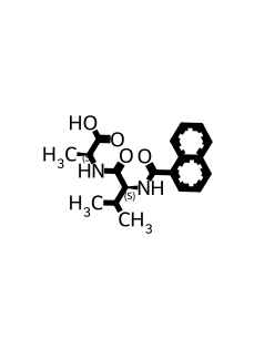 CC(C)[C@H](NC(=O)c1cccc2ccccc12)C(=O)N[C@@H](C)C(=O)O